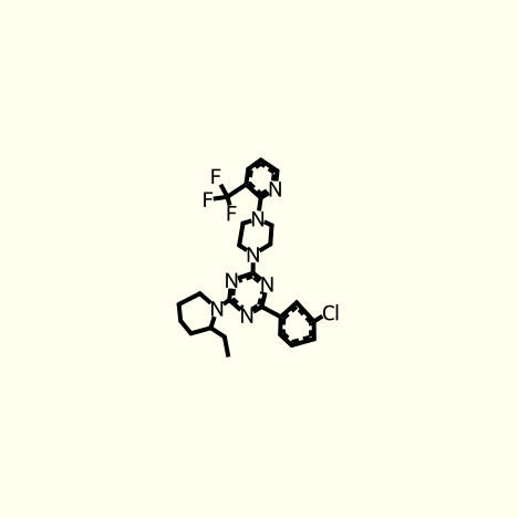 CCC1CCCCN1c1nc(-c2cccc(Cl)c2)nc(N2CCN(c3ncccc3C(F)(F)F)CC2)n1